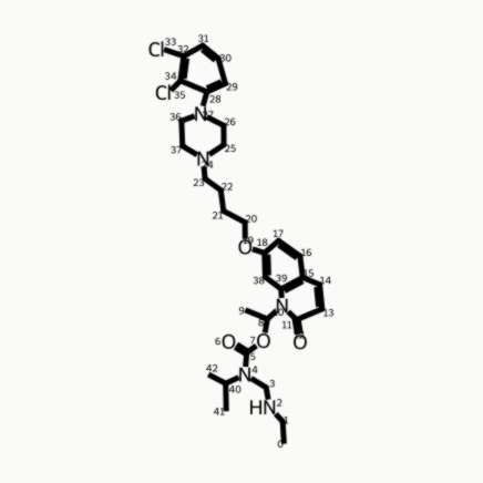 CCNCN(C(=O)OC(C)n1c(=O)ccc2ccc(OCCCCN3CCN(c4cccc(Cl)c4Cl)CC3)cc21)C(C)C